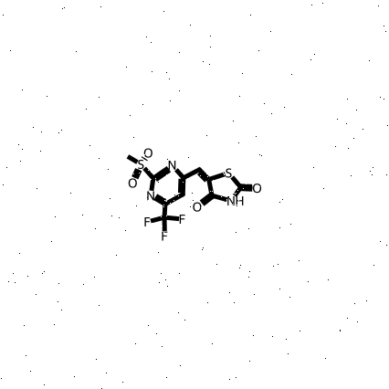 CS(=O)(=O)c1nc(/C=C2/SC(=O)NC2=O)cc(C(F)(F)F)n1